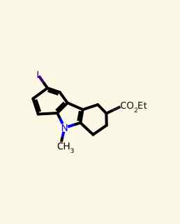 CCOC(=O)C1CCc2c(c3cc(I)ccc3n2C)C1